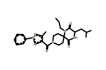 CCCN1C(=O)C(CC(C)C)NC(=O)C12CCN(C(=O)c1nn(-c3ccccc3)nc1C)CC2